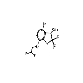 OC1c2c(Br)ccc(OCC(F)F)c2CC1(F)F